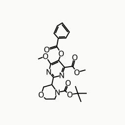 COC(=O)c1nc(C2COCCN2C(=O)OC(C)(C)C)nc(OC)c1OC(=O)c1ccccc1